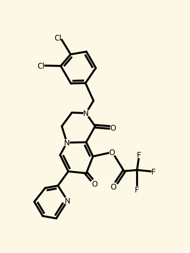 O=C1c2c(OC(=O)C(F)(F)F)c(=O)c(-c3ccccn3)cn2CCN1Cc1ccc(Cl)c(Cl)c1